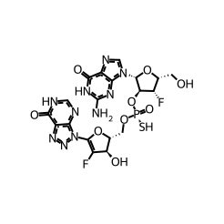 Nc1nc2c(ncn2[C@@H]2O[C@H](CO)[C@H](F)[C@H]2O[P@](=O)(S)OC[C@H]2OC(n3nnc4c(=O)[nH]cnc43)=C(F)[C@@H]2O)c(=O)[nH]1